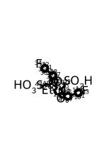 CCC(=Cc1oc2ccc(-c3ccc(F)cc3)cc2[n+]1CCCS(=O)(=O)O)C=C1Oc2ccc(-c3ccc(F)cc3)cc2N1CCCS(=O)(=O)O